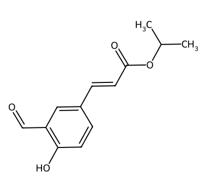 CC(C)OC(=O)/C=C/c1ccc(O)c(C=O)c1